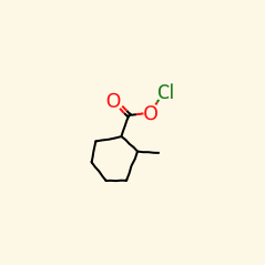 CC1CCCCC1C(=O)OCl